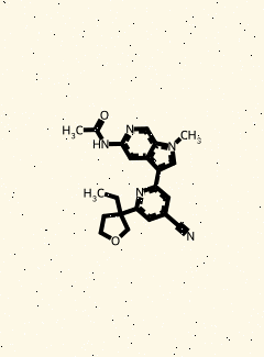 CCC1(c2cc(C#N)cc(-c3cn(C)c4cnc(NC(C)=O)cc34)n2)CCOC1